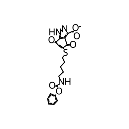 COC(=O)c1n[nH]c2c1C(=O)C(SCCCCCNC(=O)Oc1ccccc1)=CC2=O